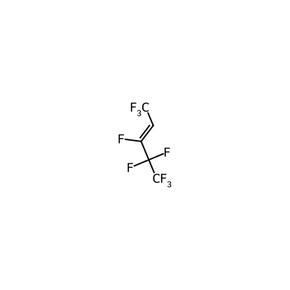 FC(=CC(F)(F)F)C(F)(F)C(F)(F)F